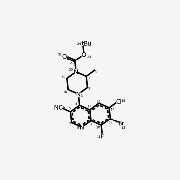 CC1CN(c2c(C#N)cnc3c(F)c(Br)c(Cl)cc23)CCN1C(=O)OC(C)(C)C